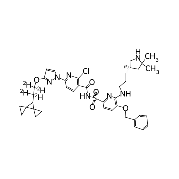 [2H]C([2H])(Oc1ccn(-c2ccc(C(=O)NS(=O)(=O)c3ccc(OCc4ccccc4)c(NCCC[C@@H]4CNC(C)(C)C4)n3)c(Cl)n2)n1)C([2H])([2H])C1C2(CC2)C12CC2